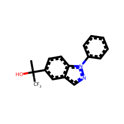 CC(O)(c1ccc2c(cnn2-c2ccccc2)c1)C(F)(F)F